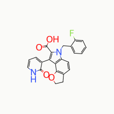 O=C(O)c1c(-c2ccc[nH]c2=O)c2c3c(ccc2n1Cc1ccccc1F)CCO3